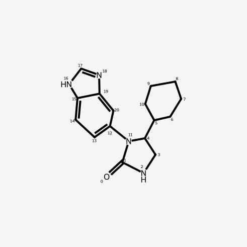 O=C1NCC(C2CCCCC2)N1c1ccc2[nH]cnc2c1